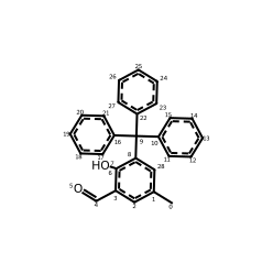 Cc1cc(C=O)c(O)c(C(c2ccccc2)(c2ccccc2)c2ccccc2)c1